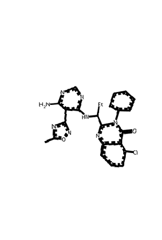 CCC(Nc1ncnc(N)c1-c1noc(C)n1)c1nc2cccc(Cl)c2c(=O)n1-c1ccccc1